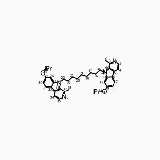 Cc1nccc2c3ccc(OC(C)C)cc3n(CCCCCCCCCn3c4cc(OC(C)C)ccc4c4ccnc(C)c43)c12